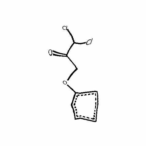 O=C(COc1ccccc1)C(Cl)Cl